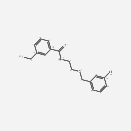 O=C(NCCOCc1cccc(Cl)c1)c1cccc(CF)c1